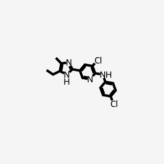 CCc1[nH]c(-c2cnc(Nc3ccc(Cl)cc3)c(Cl)c2)nc1C